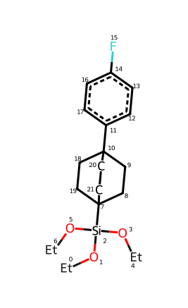 CCO[Si](OCC)(OCC)C12CCC(c3ccc(F)cc3)(CC1)CC2